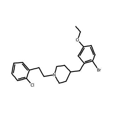 CCOc1ccc(Br)c(CC2CCN(CCc3ccccc3Cl)CC2)c1